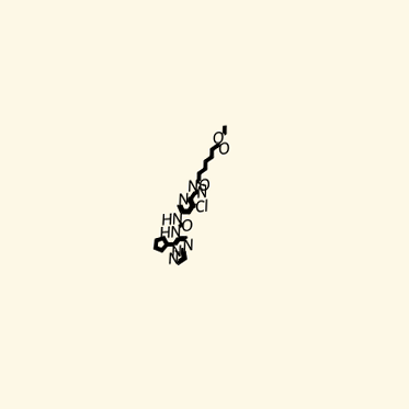 CCOC(=O)CCCCCc1nc(-c2ncc(NC(=O)Nc3cnc4ccnn4c3C3CCCC3)cc2Cl)no1